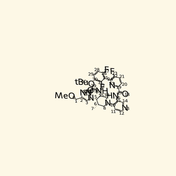 COCc1cn([C@H]2[C@@H](C)CN(c3ccncc3NC(=O)c3ccc(F)c(-c4c(F)cccc4F)n3)C[C@H]2NC(=O)OC(C)(C)C)nn1